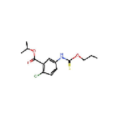 CCCOC(=S)Nc1ccc(Cl)c(C(=O)OC(C)C)c1